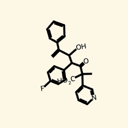 C=C(c1ccccc1)C(O)C(C(=O)C(C)(C(=O)O)c1cccnc1)c1ccc(F)cc1